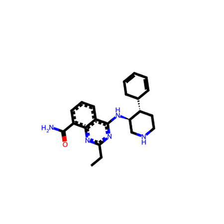 CCc1nc(N[C@@H]2CNCC[C@H]2C2C=CC=CC2)c2cccc(C(N)=O)c2n1